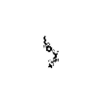 CCCCc1nc2ccc(OC/C(F)=C\CNC(=O)OC(C)(C)C)cc2o1